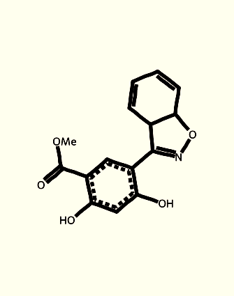 COC(=O)c1cc(C2=NOC3C=CC=CC23)c(O)cc1O